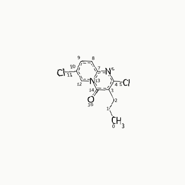 CCCc1c(Cl)nc2ccc(Cl)cn2c1=O